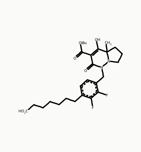 CC(C)COC(=O)C1=C(O)C2(C)CCCN2N(Cc2ccc(CCCCCCC(=O)O)c(F)c2F)C1=O